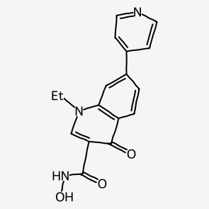 CCn1cc(C(=O)NO)c(=O)c2ccc(-c3ccncc3)cc21